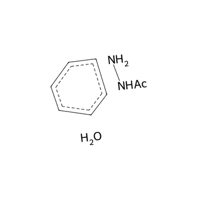 CC(=O)NN.O.c1ccccc1